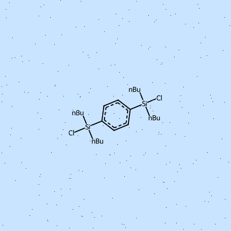 CCCC[Si](Cl)(CCCC)c1ccc([Si](Cl)(CCCC)CCCC)cc1